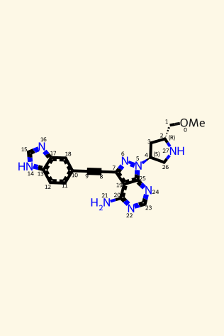 COC[C@H]1C[C@H](n2nc(C#Cc3ccc4[nH]cnc4c3)c3c(N)ncnc32)CN1